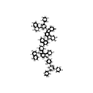 c1ccc(-c2nc(-c3ccccc3)nc(-c3ccc(-n4c5ccccc5c5c6c7cc(-c8ccc(-n9c%10ccccc%10c%10c%11c%12ccccc%12n(-c%12nc(-c%13ccccc%13)nc(-c%13cccc%14ccccc%13%14)n%12)c%11ccc%109)c9ccccc89)ccc7n(-c7cccc8ccccc78)c6ccc54)cc3)n2)cc1